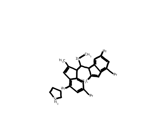 C1CC[SiH2]C1.[CH3][Zr][CH](C1C(C)=Cc2c(C(C)C)cc(C(C)C)cc21)C1C(C)=Cc2c(C(C)C)cc(C(C)C)cc21